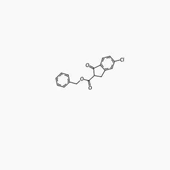 O=C(OCc1ccccc1)C1Cc2cc(Cl)ccc2C1=O